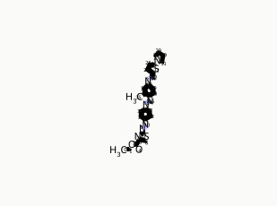 CCOC(=O)c1csc(/N=N/c2ccc(/N=N/c3ccc(/N=N/c4ccc(N5CCCC5)s4)cc3C)cc2)n1